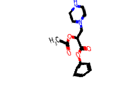 CC(=O)OC(CN1CCNCC1)C(=O)Oc1ccccc1